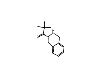 CC(C)(C)C(=O)[C@@H]1Cc2ccccc2CN1